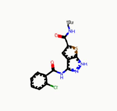 CC(C)(C)NC(=O)c1cc2c(NC(=O)c3ccccc3Cl)n[nH]c2s1